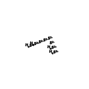 [S-2].[S-2].[S-2].[S-2].[SH4+2].[SH4+2].[SH4+2].[SH4+2]